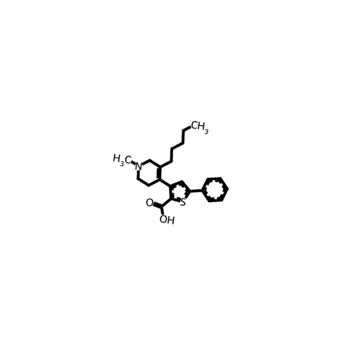 CCCCCC1=C(c2cc(-c3ccccc3)sc2C(=O)O)CCN(C)C1